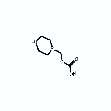 O=C(O)OCN1CCNCC1